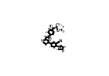 CN(C)C(=O)c1ccc(-c2cc3nccc(-c4ccc(N5CCC(F)C5)c(C#N)c4)c3o2)cc1